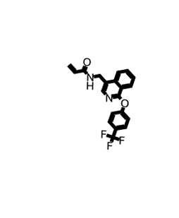 C=CC(=O)NCc1cnc(Oc2ccc(C(F)(F)F)cc2)c2ccccc12